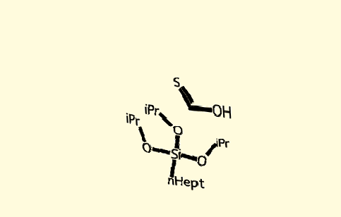 CCCCCCC[Si](OC(C)C)(OC(C)C)OC(C)C.OC=S